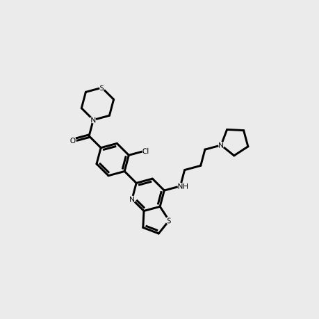 O=C(c1ccc(-c2cc(NCCCN3CCCC3)c3sccc3n2)c(Cl)c1)N1CCSCC1